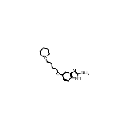 Nc1nc2cc(OCCCCN3CCCCC3)ccc2[nH]1